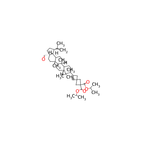 C=C(C)[C@@H]1CC[C@]2(C=O)CC[C@]3(C)[C@H](CC[C@@H]4[C@@]5(C)CC=C(C6=CC7(C6)CC(C(=O)OC(C)C)(C(=O)OC(C)C)C7)C(C)(C)[C@@H]5CC[C@]43C)[C@@H]12